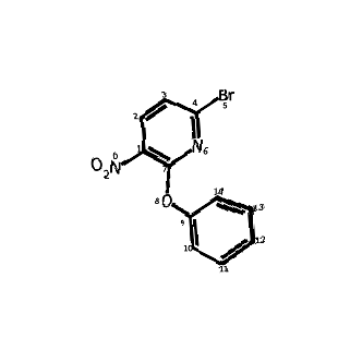 O=[N+]([O-])c1ccc(Br)nc1Oc1ccccc1